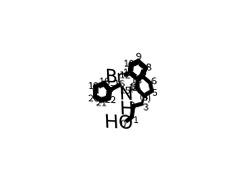 OCCC[C@@H]1CCc2cccc(Br)c2[C@H]1NCc1ccccc1